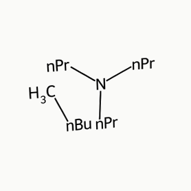 CCCCC.CCCN(CCC)CCC